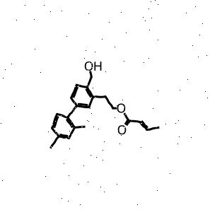 C/C=C/C(=O)OCCc1cc(-c2ccc(C)cc2C)ccc1CO